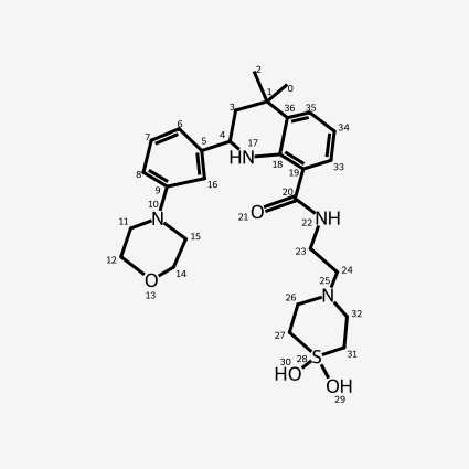 CC1(C)CC(c2cccc(N3CCOCC3)c2)Nc2c(C(=O)NCCN3CCS(O)(O)CC3)cccc21